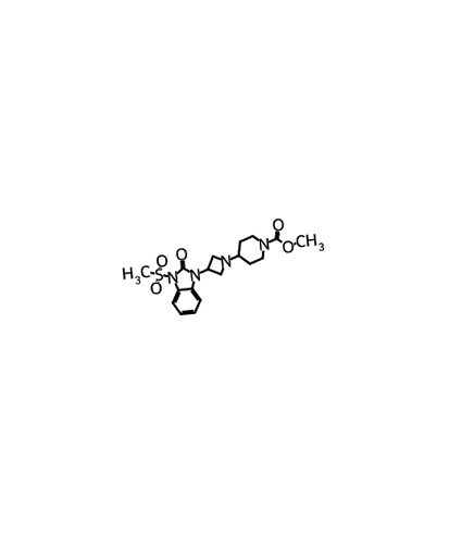 COC(=O)N1CCC(N2CC(n3c(=O)n(S(C)(=O)=O)c4ccccc43)C2)CC1